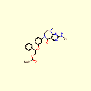 CCNc1ncc2c(n1)N(C)CCN(c1cccc(OC(COC(=O)NC)c3ccccc3)c1)C2=O